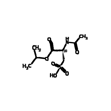 CC(=O)N[C@H](CS(=O)(=O)O)C(=O)OC(C)C